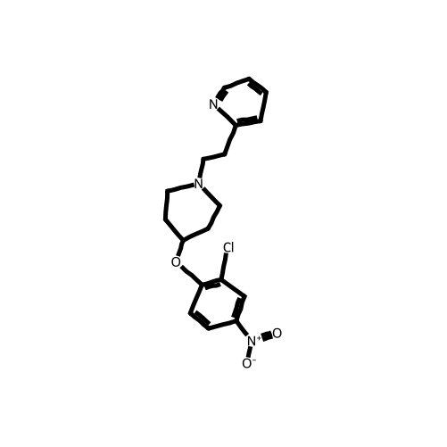 O=[N+]([O-])c1ccc(OC2CCN(CCc3ccccn3)CC2)c(Cl)c1